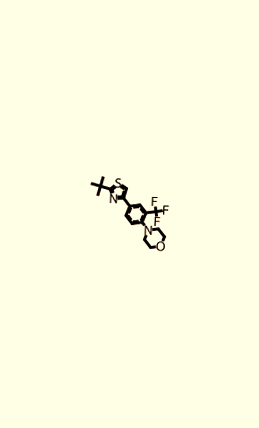 CC(C)(C)c1nc(-c2ccc(N3CCOCC3)c(C(F)(F)F)c2)cs1